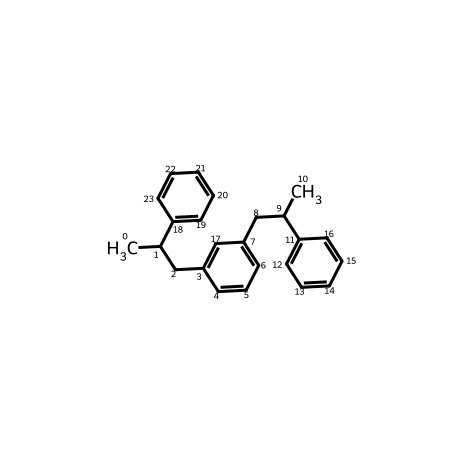 CC(Cc1cccc(CC(C)c2ccccc2)c1)c1ccccc1